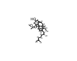 COC(C)OC1C[C@H](O)CC2=CC[C@H]3[C@@H]4CC[C@H]([C@H](C)CCCC(C)C)[C@@]4(C)CC[C@@H]3[C@]21C